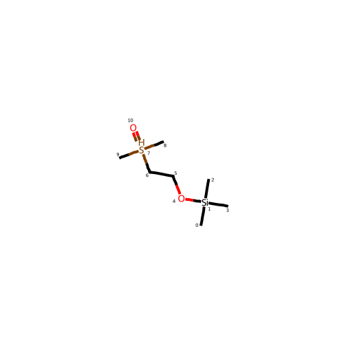 C[Si](C)(C)OCC[SH](C)(C)=O